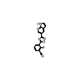 N#Cc1cccc(-c2nc(-c3cnc4[nH]ccc4c3)no2)c1F